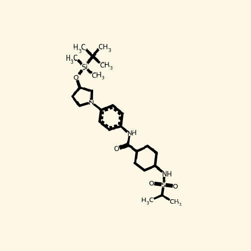 CC(C)S(=O)(=O)NC1CCC(C(=O)Nc2ccc(N3CCC(O[Si](C)(C)C(C)(C)C)C3)cc2)CC1